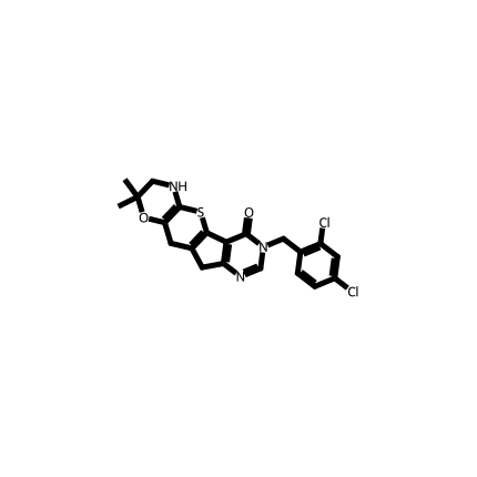 CC1(C)CNC2=C(CC3=C(S2)c2c(ncn(Cc4ccc(Cl)cc4Cl)c2=O)C3)O1